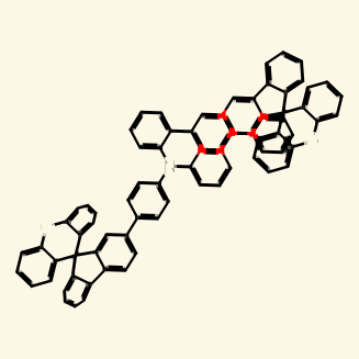 c1ccc(-c2ccc(-c3ccccc3N(c3ccc(-c4ccc5c(c4)C4(c6ccccc6Oc6ccccc64)c4ccccc4-5)cc3)c3cccc(-c4ccc5c(c4)C4(c6ccccc6Oc6ccccc64)c4ccccc4-5)c3)cc2)cc1